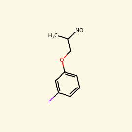 CC(COc1cccc(I)c1)N=O